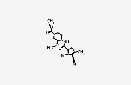 CCOC(=O)N1CC[C@@H](NC(=O)c2[nH]c(C)c(C#N)c2Br)[C@@H](OC)C1